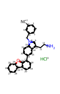 Cl.N#Cc1cccc(Cn2cc(CCN)c3cc(-c4cccc5c4oc4ccccc45)ccc32)c1